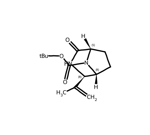 C=C(C)[C@H]1NC(=O)[C@@H]2CC[C@H]1N2C(=O)OC(C)(C)C